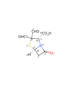 O=CC1(C=O)S[C@@H]2CC(=O)N2[C@H]1C(=O)O